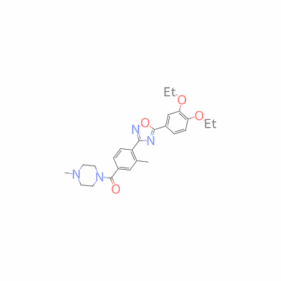 CCOc1ccc(-c2nc(-c3ccc(C(=O)N4CCN(C)CC4)cc3C)no2)cc1OCC